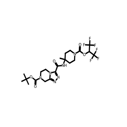 CC1(NC(=O)c2nnc3n2CCN(C(=O)OC(C)(C)C)C3)CCN(C(=O)OC(C(F)(F)F)C(F)(F)F)CC1